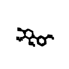 CCN1CCN(c2cccc(C)c2)C(C)C1C